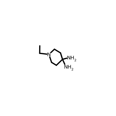 CCN1CCC(N)(N)CC1